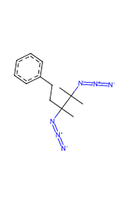 CC(C)(N=[N+]=[N-])C(C)(CCc1ccccc1)N=[N+]=[N-]